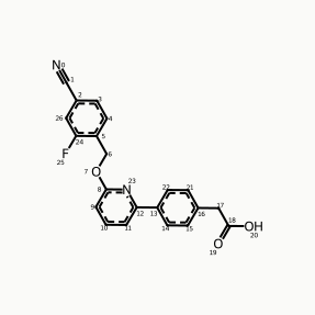 N#Cc1ccc(COc2cccc(-c3ccc(CC(=O)O)cc3)n2)c(F)c1